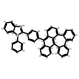 c1ccc(-n2c(-c3ccc(-c4c5ccccc5c5c6c(cccc46)-c4ccccc4-c4ccccc4-5)cc3)nc3ccccc32)cc1